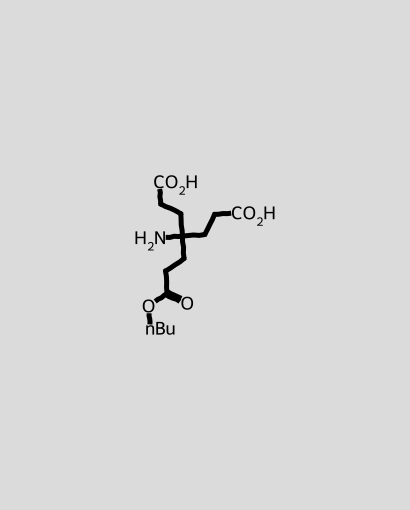 CCCCOC(=O)CCC(N)(CCC(=O)O)CCC(=O)O